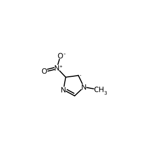 CN1[CH]C([N+](=O)[O-])N=C1